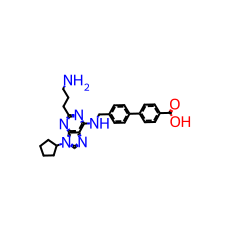 NCCCc1nc(NCc2ccc(-c3ccc(C(=O)O)cc3)cc2)c2ncn(C3CCCC3)c2n1